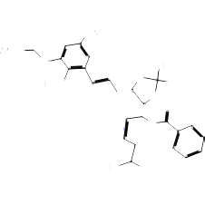 COCOc1cc(OC)cc(/C=C/C[C@@H]2OC(C)(C)O[C@@H]2C(/C=C\CC(C)O)OC(=O)c2ccccc2)c1C(=O)O